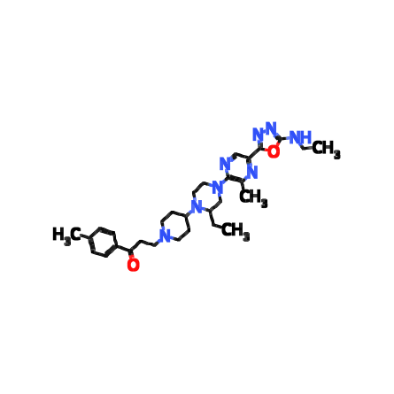 CCNc1nnc(-c2cnc(N3CCN(C4CCN(CCC(=O)c5ccc(C)cc5)CC4)C(CC)C3)c(C)n2)o1